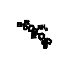 CCC(CC)Oc1ccc2c(N)c(-c3ccc(N4CCCS4(=O)=O)cc3)n(CC)c2c1